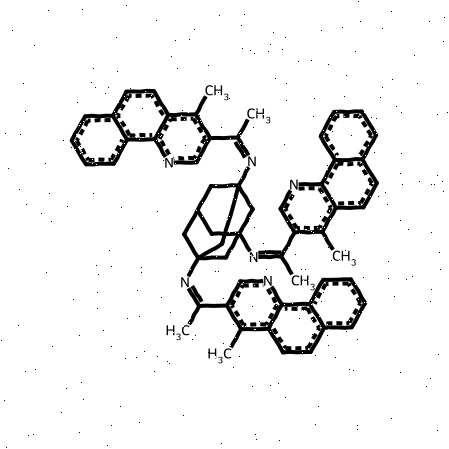 C/C(=N/C12CC3CC(/N=C(/C)c4cnc5c(ccc6ccccc65)c4C)(C1)CC(/N=C(/C)c1cnc4c(ccc5ccccc54)c1C)(C3)C2)c1cnc2c(ccc3ccccc32)c1C